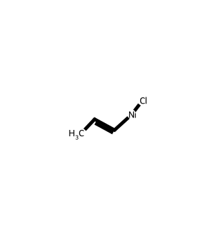 CC=[CH][Ni][Cl]